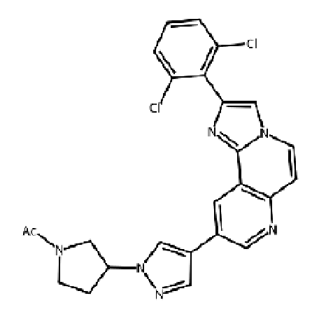 CC(=O)N1CCC(n2cc(-c3cnc4ccn5cc(-c6c(Cl)cccc6Cl)nc5c4c3)cn2)C1